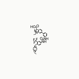 CCN1CCN(Cc2ccc(NC(=O)Nc3cccc(-c4ccc5c(C(=O)O)nn(CC)c5c4)c3)cc2C(F)(F)F)CC1